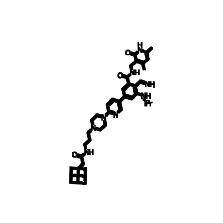 Cc1cc(C)c(CNC(=O)c2cc(-c3ccc(N4CCN(CCCNC(=O)CC56CC7CC8CC(C5)C876)CC4)nc3)cc(NC(C)C)c2C=N)c(=O)[nH]1